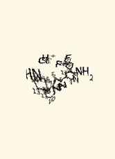 Nc1ncc(-c2cc3n(n2)CC[C@@]32CCNC2)cc1OC(F)F.[Cl-].[H+]